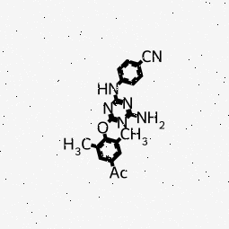 CC(=O)c1cc(C)c(Oc2nc(N)nc(Nc3ccc(C#N)cc3)n2)c(C)c1